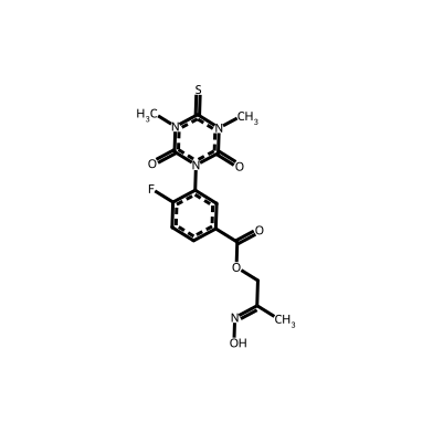 CC(COC(=O)c1ccc(F)c(-n2c(=O)n(C)c(=S)n(C)c2=O)c1)=NO